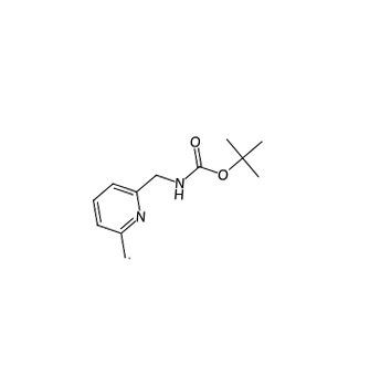 [CH2]c1cccc(CNC(=O)OC(C)(C)C)n1